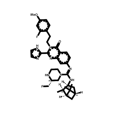 COc1ccc(CCn2c(-c3ncc[nH]3)nc3cc(N=C(N[C@H]4C[C@@H]5C[C@@H]([C@H]4C)C5(C)C)N4CCN[C@@H](CF)C4)ccc3c2=O)c(F)c1